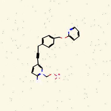 Nc1ccc(C#CCc2ccc(COc3ccccn3)cc2)c[n+]1COP(=O)(O)O